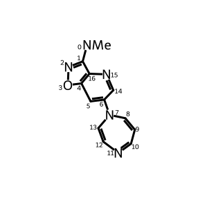 CNc1noc2cc(N3C=CC=NC=C3)cnc12